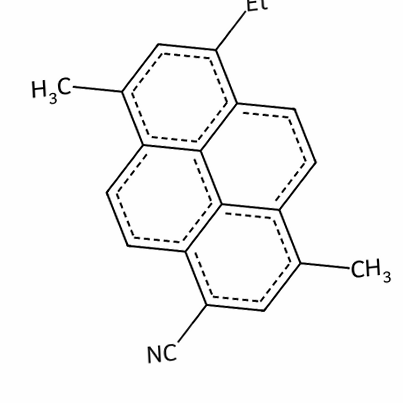 CCc1cc(C)c2ccc3c(C#N)cc(C)c4ccc1c2c43